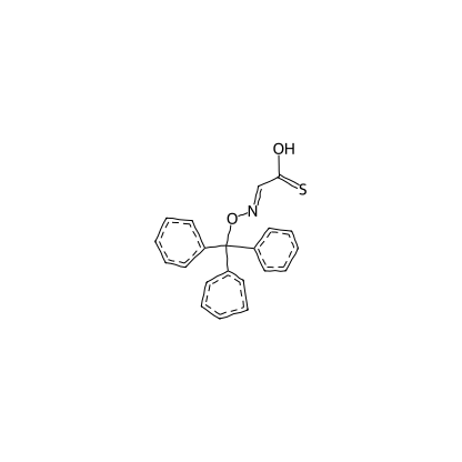 OC(=S)C=NOC(c1ccccc1)(c1ccccc1)c1ccccc1